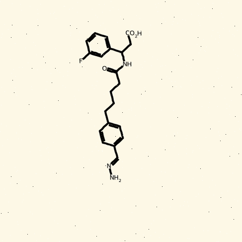 NN=Cc1ccc(CCCCC(=O)NC(CC(=O)O)c2cccc(F)c2)cc1